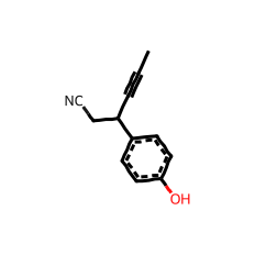 CC#CC(CC#N)c1ccc(O)cc1